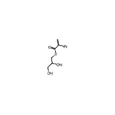 C=C(C(=O)OCC(O)CO)C(C)C